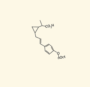 CCCCCCCCOc1ccc(C=CCC2CC2C(C)C(=O)O)cc1